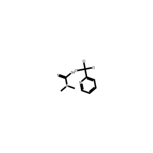 CN(C)C(=S)S.ClC(Cl)(Cl)c1ccccn1